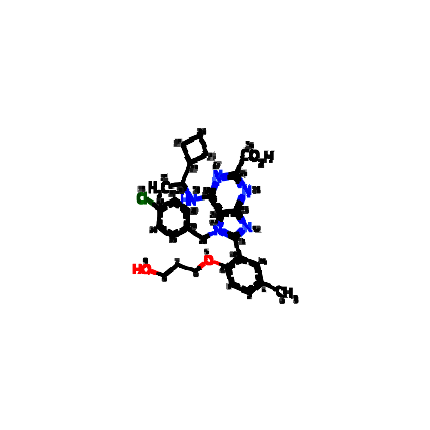 Cc1ccc(OCCCO)c(-c2nc3nc(C(=O)O)nc(NC(C)C4CCC4)c3n2Cc2ccc(Cl)cc2)c1